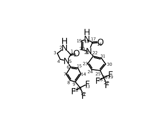 O=C1NCCN1c1ccc(C(F)(F)F)cc1.O=c1[nH]ccn1-c1ccc(C(F)(F)F)cc1